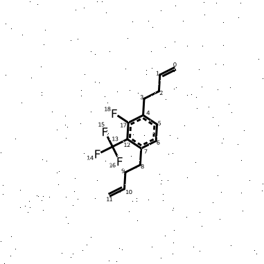 C=CCCc1ccc(CCC=C)c(C(F)(F)F)c1F